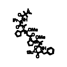 CO[C@H]([C@@H](C)C(=O)N[C@@H](Cc1ccccc1)C(=O)OC(C)(C)C)[C@@H]1CCCN1C(=O)C[C@@H](OC)[C@H](C1CCCC1)N(C)C(=O)[C@@H](NC(=O)C(C)(C)N(C)C)C(C)C